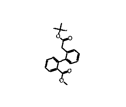 COC(=O)c1ccccc1-c1ccccc1CC(=O)OC(C)(C)C